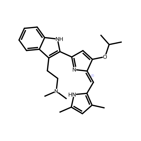 Cc1cc(C)c(/C=C2\N=C(c3[nH]c4ccccc4c3CCN(C)C)C=C2OC(C)C)[nH]1